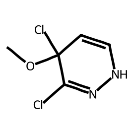 COC1(Cl)C=CNN=C1Cl